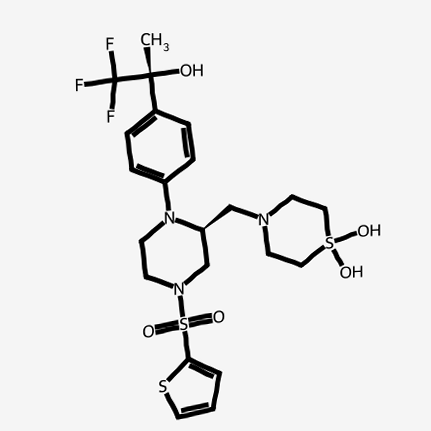 C[C@@](O)(c1ccc(N2CCN(S(=O)(=O)c3cccs3)C[C@@H]2CN2CCS(O)(O)CC2)cc1)C(F)(F)F